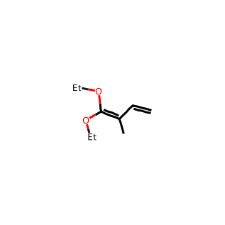 C=CC(C)=C(OCC)OCC